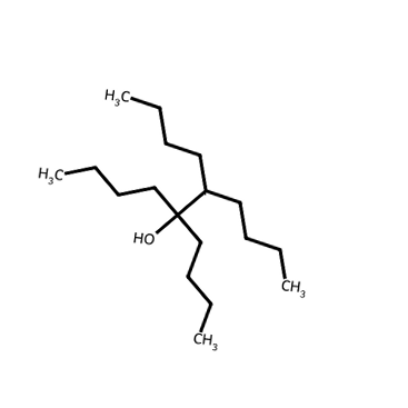 CCCC[C](CCCC)C(O)(CCCC)CCCC